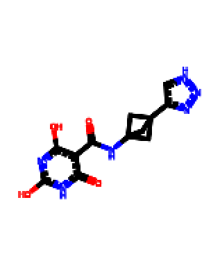 O=C(NC12CC(c3c[nH]nn3)(C1)C2)c1c(O)nc(O)[nH]c1=O